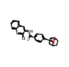 O=C(Nc1cc2ccccc2nc1Cl)c1ccc(N2CC3CCC(CC3)C2)cc1